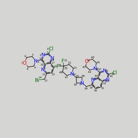 Clc1nc(N2CCOCC2)c2nc(CBr)ccc2n1.FC1(F)CCN(C2CN(Cc3ccc4nc(Cl)nc(N5CCOCC5)c4n3)C2)CC1